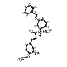 COc1ccc(C=CC(=O)Nc2cccc(SCc3ccncc3)c2)cc1O.Cl